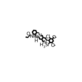 C=CC(=O)Nc1cccc(C)c1Nc1cc2cnc(-c3c([SiH3])c(OC)cc(OC)c3Cl)cc2cn1